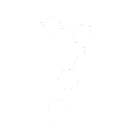 Cc1cccc(-c2cnc(N)c3nc(-c4ccc(C5CCNCC5)cc4)cn23)c1